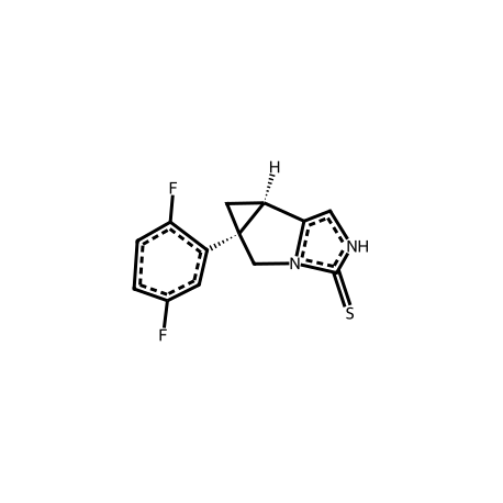 Fc1ccc(F)c([C@]23C[C@H]2c2c[nH]c(=S)n2C3)c1